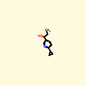 CCC(O)c1ccc(C2CC2)nc1